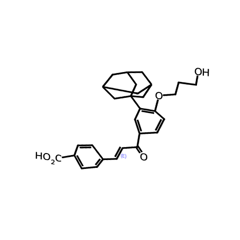 O=C(O)c1ccc(/C=C/C(=O)c2ccc(OCCCO)c(C34CC5CC(CC(C5)C3)C4)c2)cc1